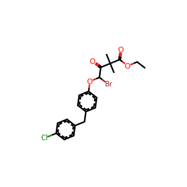 CCOC(=O)C(C)(C)C(=O)C(Br)Oc1ccc(Cc2ccc(Cl)cc2)cc1